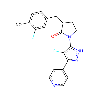 N#Cc1ccc(CC2CCN(c3[nH]nc(-c4ccncc4)c3F)C2=O)cc1F